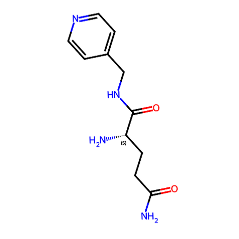 NC(=O)CC[C@H](N)C(=O)NCc1ccncc1